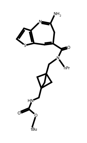 CCCN(CC12CC(CNC(=O)OC(C)(C)C)(C1)C2)C(=O)C1=Cc2sccc2N=C(N)C1